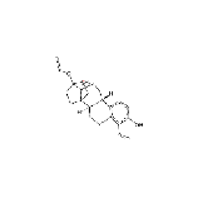 C[C@]12CC[C@@H]3c4ccc(O)c(C=O)c4CC[C@H]3C13CCC2(OC=O)CC3